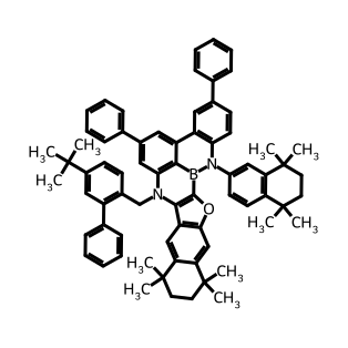 CC(C)(C)c1ccc(CN2c3cc(-c4ccccc4)cc4c3B(c3oc5cc6c(cc5c32)C(C)(C)CCC6(C)C)N(c2ccc3c(c2)C(C)(C)CCC3(C)C)c2ccc(-c3ccccc3)cc2-4)c(-c2ccccc2)c1